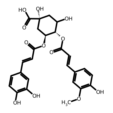 COc1cc(/C=C/C(=O)O[C@H]2C(O)C[C@](O)(C(=O)O)C[C@@H]2OC(=O)/C=C/c2ccc(O)c(O)c2)ccc1O